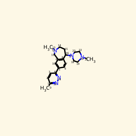 Cc1ccc(-c2ccc3c(c2)CN(C)CCC3N2CCN(C)CC2)nn1